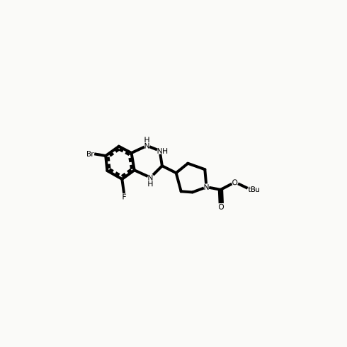 CC(C)(C)OC(=O)N1CCC(C2NNc3cc(Br)cc(F)c3N2)CC1